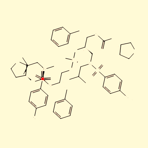 CC(C)CN(C[C@H](O[PH](O)(O)O[C@H](CN(CC(C)C)S(=O)(=O)c1ccc(N)cc1)[C@H](Cc1ccccc1)NC(=O)O[C@H]1CCOC1)[C@H](Cc1ccccc1)NC(=O)O[C@H]1CCOC1)S(=O)(=O)c1ccc(N)cc1